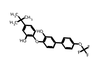 CC(C)(C)c1ccc(Oc2ccc(-c3ccc(OC(F)(F)F)cc3)cc2O)c(O)c1